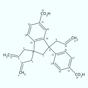 C=CCC1(CC=C)CC(CC=C)(c2ccc(C(=O)O)cc2)c2cc(C(=O)O)ccc21